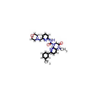 CN1C(=O)CN(C(=O)Nc2cccc(CN3CCOCC3)n2)c2nc(-c3cccc(C(F)(F)F)c3)ccc21